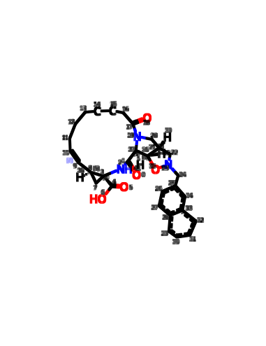 O=C1N[C@]2(C(=O)O)C[C@H]2/C=C\CCCCCCC(=O)N2C[C@@H]3CN(Cc4ccc5ccccc5c4)O[C@@H]3[C@@H]12